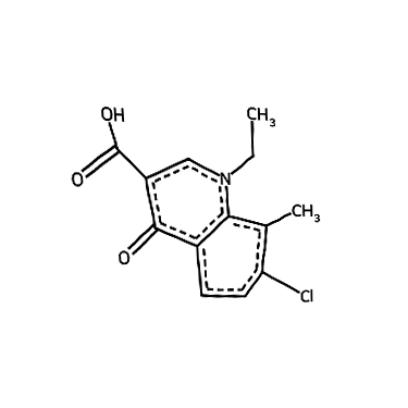 CCn1cc(C(=O)O)c(=O)c2ccc(Cl)c(C)c21